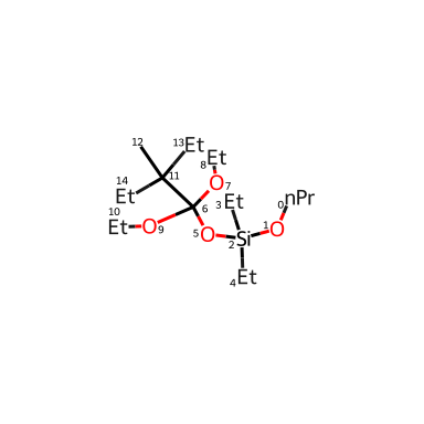 CCCO[Si](CC)(CC)OC(OCC)(OCC)C(C)(CC)CC